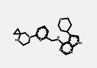 c1cc(CNc2ncnc3[nH]cc(C4CCOCC4)c23)nc(N2CCNC3(CC3)C2)c1